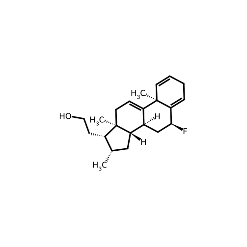 C[C@H]1C[C@H]2[C@@H]3C[C@H](F)C4=CCC=C[C@]4(C)C3=CC[C@]2(C)[C@H]1CCO